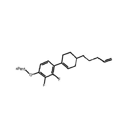 C=CCCCC1CC=C(c2ccc(OCCCCC)c(F)c2F)CC1